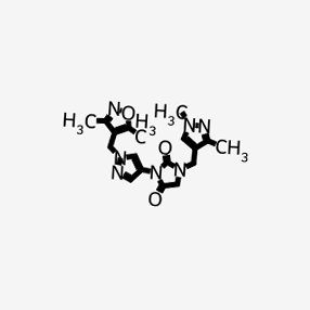 Cc1nn(C)cc1CN1CC(=O)N(c2cnn(Cc3c(C)noc3C)c2)C1=O